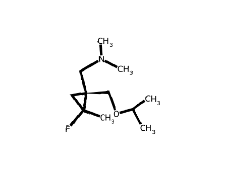 CC(C)OC[C@]1(CN(C)C)CC1(C)F